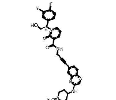 CN1CCC(Nc2cnc3ccc(C#CCNC(=O)c4cccn([C@@H](CO)c5ccc(F)c(F)c5)c4=O)cc3n2)CC1